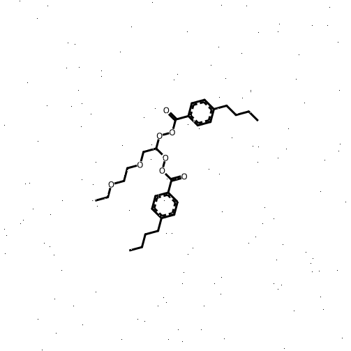 [CH2]COCCOC[C](OOC(=O)c1ccc(CCCC)cc1)OOC(=O)c1ccc(CCCC)cc1